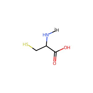 [2H]NC(CS)C(=O)O